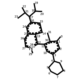 Cc1cc(C2CCCCC2)cc(-c2c3ccc(C(C(C)C)C(C)C)cc3cc[n+]2C)c1C